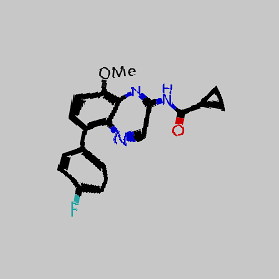 COc1ccc(-c2ccc(F)cc2)c2ncc(NC(=O)C3CC3)nc12